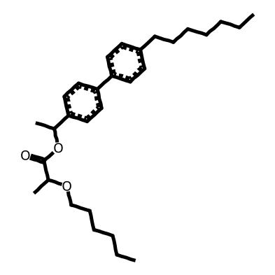 CCCCCCCc1ccc(-c2ccc(C(C)OC(=O)C(C)OCCCCCC)cc2)cc1